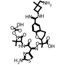 CC1(CN)CC(NC(=N)c2ccc3c(c2)CCC(C(C)(ON=C(C(=O)NC2C(=O)N(OS(=O)(=O)O)C2(C)C)c2csc(N)n2)C(=O)O)O3)C1